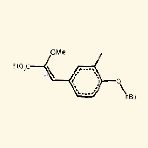 CCCCOc1ccc(/C=C(\OC)C(=O)OCC)cc1C